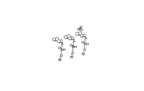 C[C@H](CCC(=O)NCCCOCC[N+](C)(C)C)[C@H]1CCC2C3CCC4CCCC[C@]4(C)C3CC[C@@]21C.C[C@H](CCC(=O)NCCCOCC[N+](C)(C)C)[C@H]1CCC2C3CCC4CCCC[C@]4(C)C3CC[C@@]21C.C[C@H](CCC(=O)NCCCOCC[N+](C)(C)C)[C@H]1CCC2C3CCC4CCCC[C@]4(C)C3CC[C@@]21C.[O-]P([O-])[O-]